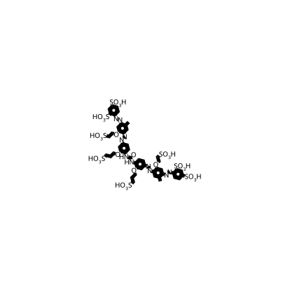 Cc1cc(N=Nc2ccc(NC(=O)Nc3ccc(N=Nc4cc(C)c(N=Nc5ccc(S(=O)(=O)O)cc5S(=O)(=O)O)cc4OCCS(=O)(=O)O)cc3OCCCS(=O)(=O)O)c(OCCCS(=O)(=O)O)c2)c(OCCS(=O)(=O)O)cc1N=Nc1ccc(S(=O)(=O)O)cc1S(=O)(=O)O